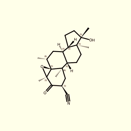 C[C@@H]1C[C@H]2[C@@H]3CC[C@](C)(O)[C@@]3(C)CC[C@@H]2[C@@]2(C)C[C@@H](C#N)C(=O)[C@@]3(C)O[C@]132